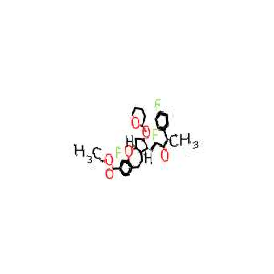 CCOC(=O)c1ccc2c(c1F)O[C@H]1C[C@@H](OC3CCCCO3)[C@H](/C=C/C(=O)[C@@H](C)c3ccc(F)cc3F)[C@H]1CC2